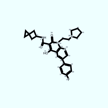 O=C(NC1CC2(CC2)C1)c1c(O)c2cc(-c3ccc(F)cc3)cnc2n(CCN2CCCC2)c1=O